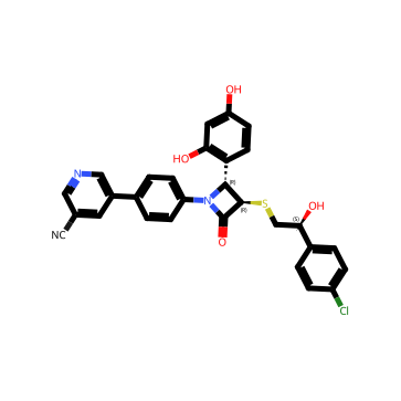 N#Cc1cncc(-c2ccc(N3C(=O)[C@H](SC[C@@H](O)c4ccc(Cl)cc4)[C@H]3c3ccc(O)cc3O)cc2)c1